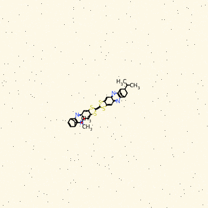 CC(C)C1CC2C=CC1c1nc3cc4c(cc3nc12)S/C(=C1/Sc2cc3nc5c(nc3cc2S1)C1C=CC5CC1C(C)C)S4